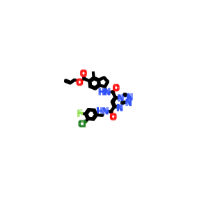 C=CCOC(=O)c1ccc2c(c1C)CC[C@@H]2NC(=O)c1cc(C(=O)NCc2ccc(F)c(Cl)c2)nc2nncn12